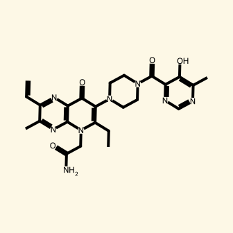 C=Cc1nc2c(=O)c(N3CCN(C(=O)c4ncnc(C)c4O)CC3)c(CC)n(CC(N)=O)c2nc1C